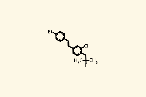 CCc1ccc(/C=C/c2ccc(CC(C)(C)F)c(Cl)c2)cc1